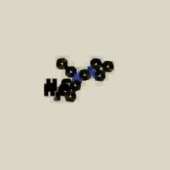 CC1(C)c2ccccc2-c2ccc(N(c3ccc(-c4ccccc4)cc3)c3ccc(-n4c5cccc6c7ccccc7c7cccc4c7c65)cc3)cc21